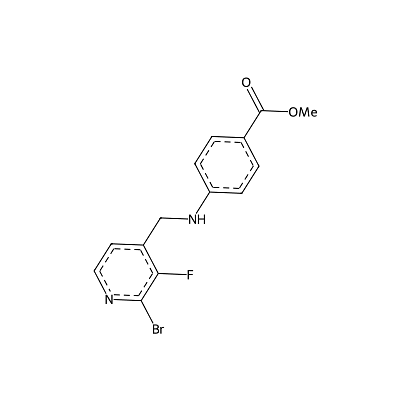 COC(=O)c1ccc(NCc2ccnc(Br)c2F)cc1